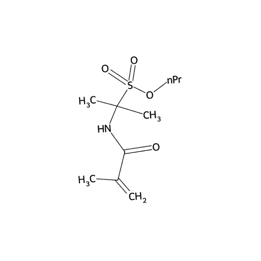 C=C(C)C(=O)NC(C)(C)S(=O)(=O)OCCC